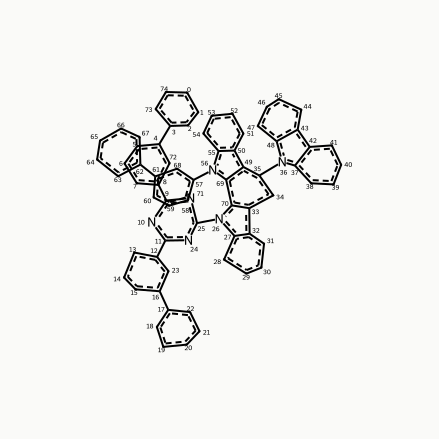 c1ccc(-c2cccc(-c3nc(-c4cccc(-c5ccccc5)c4)nc(-n4c5ccccc5c5cc(-n6c7ccccc7c7ccccc76)c6c7ccccc7n(-c7cccc(-c8ccccc8)c7)c6c54)n3)c2)cc1